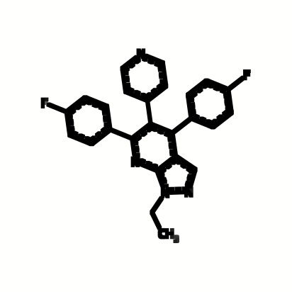 CCn1ncc2c(-c3ccc(F)cc3)c(-c3ccncc3)c(-c3ccc(F)cc3)nc21